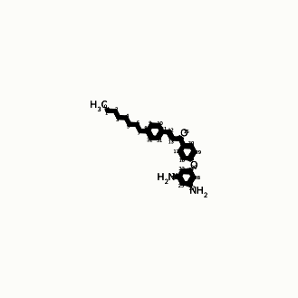 CCCCCCCCc1ccc(/C=C/C(=O)c2ccc(Oc3cc(N)cc(N)c3)cc2)cc1